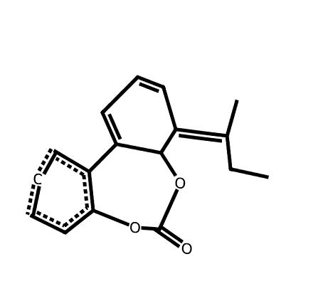 CCC(C)=C1C=CC=C2c3ccccc3OC(=O)OC21